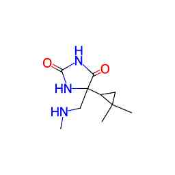 CNCC1(C2CC2(C)C)NC(=O)NC1=O